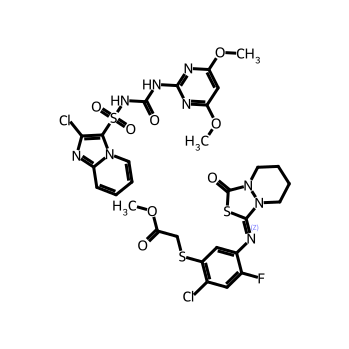 COC(=O)CSc1cc(/N=c2\sc(=O)n3n2CCCC3)c(F)cc1Cl.COc1cc(OC)nc(NC(=O)NS(=O)(=O)c2c(Cl)nc3ccccn23)n1